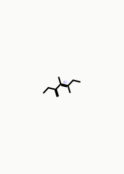 C=C(CC)/C(C)=C(\C)CC